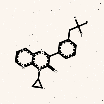 O=c1c(-c2cccc(CC(F)(F)F)c2)nc2cccnc2n1C1CC1